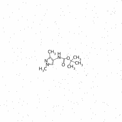 Cc1nn(C)cc1NC(=O)OC(C)(C)C